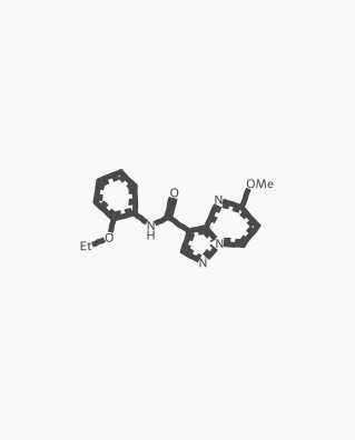 CCOc1ccccc1NC(=O)c1cnn2ccc(OC)nc12